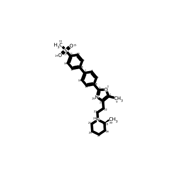 Cc1oc(-c2ccc(-c3ccc(S(C)(=O)=O)cc3)cc2)nc1CCN1CCCC[C@@H]1C